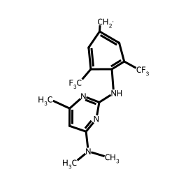 [CH2]c1cc(C(F)(F)F)c(Nc2nc(C)cc(N(C)C)n2)c(C(F)(F)F)c1